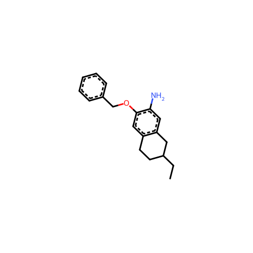 CCC1CCc2cc(OCc3ccccc3)c(N)cc2C1